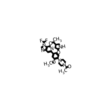 COc1cc(-c2cc3ncn(C(F)F)c3c(O[C@H](C)C3CNC(=O)C3)n2)ccc1N1CCN(C(C)=O)CC1